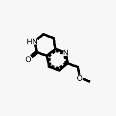 COCc1ccc2c(n1)CCNC2=O